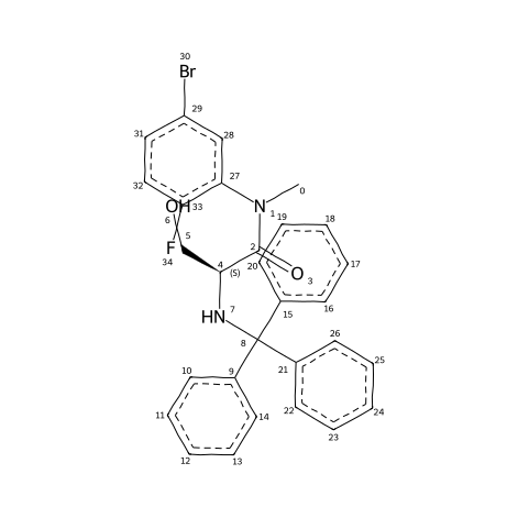 CN(C(=O)[C@H](CO)NC(c1ccccc1)(c1ccccc1)c1ccccc1)c1cc(Br)ccc1F